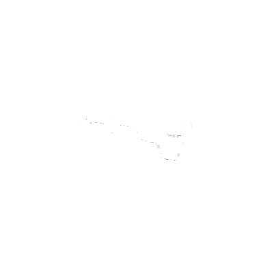 NC1CC(OCc2cccc(C(F)(F)F)c2)C1